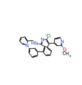 COc1cc(-c2c(Cl)nc(NCc3ccccn3)c3c(-c4ccccc4)cccc23)ccn1